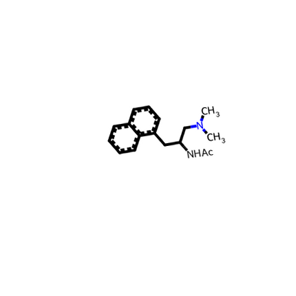 CC(=O)NC(Cc1cccc2ccccc12)CN(C)C